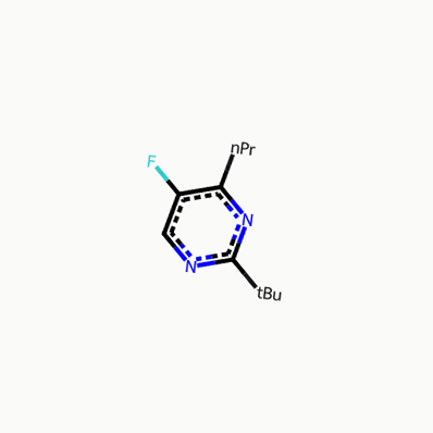 CCCc1nc(C(C)(C)C)ncc1F